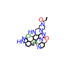 C=CC(=O)N1CCN2c3nc(=O)n(-c4c(C)ccnc4C(C)C)c4c(F)c(-c5c(C)ccc6[nH]ncc56)c(Cl)c(c34)NCC2C1